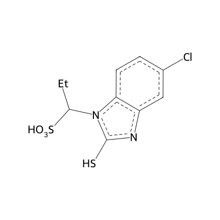 CCC(n1c(S)nc2cc(Cl)ccc21)S(=O)(=O)O